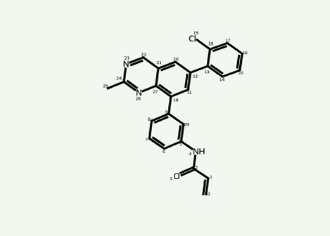 C=CC(=O)Nc1cccc(-c2cc(-c3ccccc3Cl)cc3cnc(C)nc23)c1